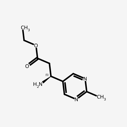 CCOC(=O)C[C@H](N)c1cnc(C)nc1